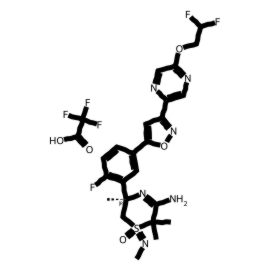 CN=S1(=O)C[C@@](C)(c2cc(-c3cc(-c4cnc(OCC(F)F)cn4)no3)ccc2F)N=C(N)C1(C)C.O=C(O)C(F)(F)F